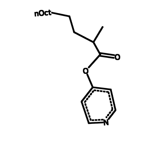 CCCCCCCCCCC(C)C(=O)Oc1ccncc1